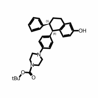 CC(C)(C)OC(=O)N1CCN(c2ccc([C@@H]3c4ccc(O)cc4CC[C@@H]3c3ccccc3)cc2)CC1